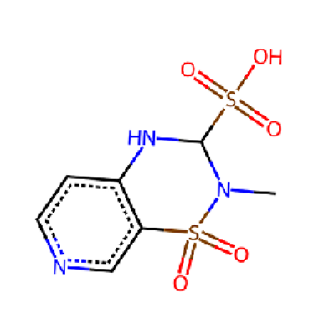 CN1C(S(=O)(=O)O)Nc2ccncc2S1(=O)=O